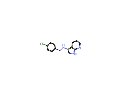 Clc1ccc(CNc2c[nH]c3ncccc23)cc1